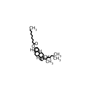 CCCCCCCCC(=O)OC1CC[C@@]2(C)C(CC[C@H]3[C@@H]4CC[C@H]([C@H](C)CCCC(C)C)[C@@]4(C)CC[C@@H]32)C1